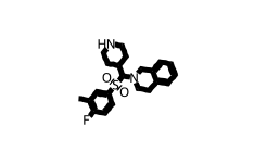 Cc1cc(S(=O)(=O)C(C2CCNCC2)N2CCc3ccccc3C2)ccc1F